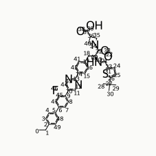 CCc1ccc(-c2ccc(-c3cnc(-c4ccc(C[C@H](NC(=O)c5ccc(C(C)(C)C)s5)C(=O)N5CC(C(=O)O)C5)cc4)nc3)c(F)c2)cc1